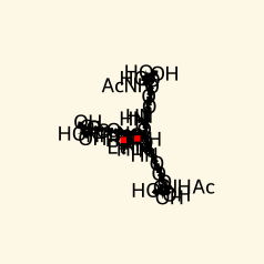 CCC(=O)NCCC(=O)NC(COC/C(=C/NCCOCCOCCO[C@H]1OC(CO)[C@@H](O)C(O)C1NC(C)=O)N=N)(COC/C(=C/NCCOCCOCCO[C@H]1OC(CO)[C@@H](O)C(O)C1NC(C)=O)N=N)COC/C(=C/NCCOCCOCCO[C@H]1OC(CO)[C@@H](O)C(O)C1NC(C)=O)N=N